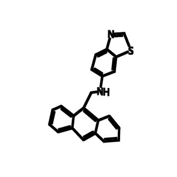 c1ccc2c(CNc3ccc4ncsc4c3)c3ccccc3cc2c1